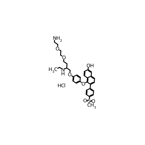 CCNC(CCOCCOCCN)COc1ccc(Oc2c(-c3ccc(S(C)(=O)=O)cc3)ccc3cc(O)ccc23)cc1.Cl